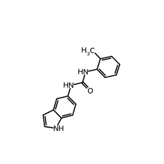 Cc1ccccc1NC(=O)Nc1ccc2[nH]ccc2c1